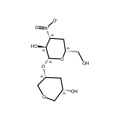 O=[N+]([O-])[C@@H]1C[C@H](CO)O[C@H](O[C@H]2COC[C@@H](O)C2)[C@H]1O